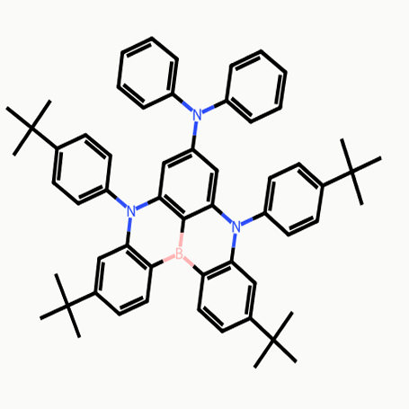 CC(C)(C)c1ccc(N2c3cc(C(C)(C)C)ccc3B3c4ccc(C(C)(C)C)cc4N(c4ccc(C(C)(C)C)cc4)c4cc(N(c5ccccc5)c5ccccc5)cc2c43)cc1